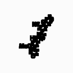 COc1cc(Nc2nccc(-c3ccc(OC4CCOCC4)c(C#N)c3)n2)ccc1N1CCOCC1